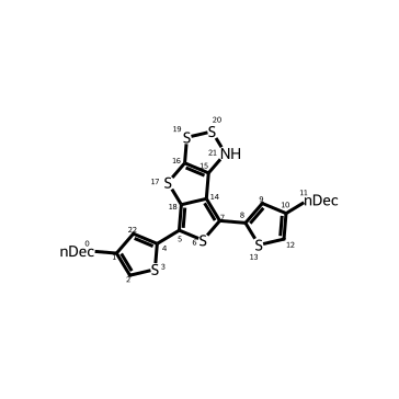 CCCCCCCCCCc1csc(-c2sc(-c3cc(CCCCCCCCCC)cs3)c3c4c(sc23)SSN4)c1